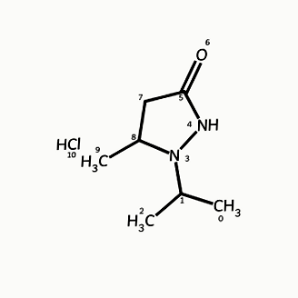 CC(C)N1NC(=O)CC1C.Cl